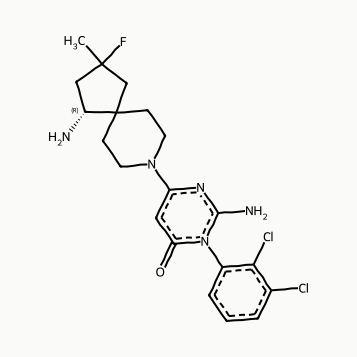 CC1(F)C[C@@H](N)C2(CCN(c3cc(=O)n(-c4cccc(Cl)c4Cl)c(N)n3)CC2)C1